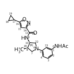 CC(=O)Nc1cccc(N2C[C@@H](C)[C@@H](NC(=O)c3cc(C4CC4)on3)C2)c1